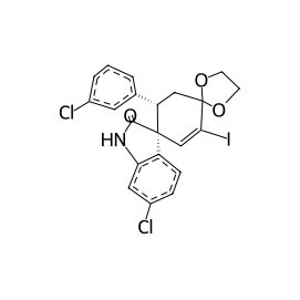 O=C1Nc2cc(Cl)ccc2[C@]12C=C(I)C1(C[C@H]2c2cccc(Cl)c2)OCCO1